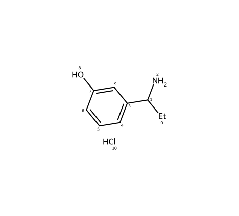 CCC(N)c1cccc(O)c1.Cl